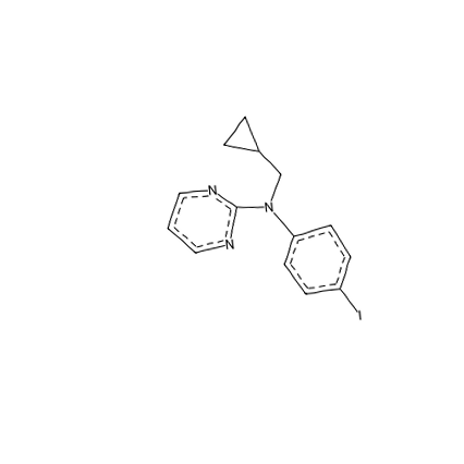 Ic1ccc(N(CC2CC2)c2ncccn2)cc1